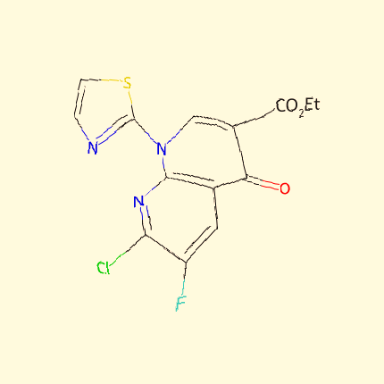 CCOC(=O)c1cn(-c2nccs2)c2nc(Cl)c(F)cc2c1=O